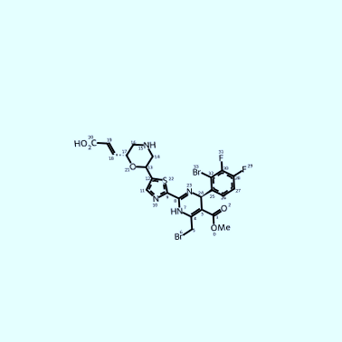 COC(=O)C1=C(CBr)NC(c2ncc(C3CNC[C@@H](/C=C/C(=O)O)O3)s2)=N[C@H]1c1ccc(F)c(F)c1Br